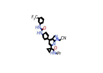 CC(C)NC(=O)C1(c2cc(-c3ccc(NC(=O)Nc4cccc(C(F)(F)F)c4)cc3)c3cnn(CC#N)c3n2)CC1